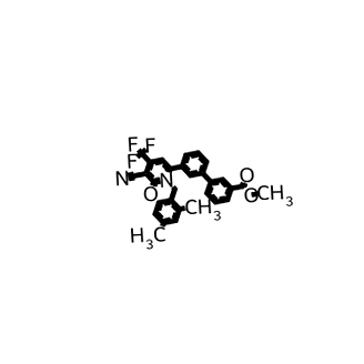 COC(=O)c1cccc(-c2cccc(-c3cc(C(F)(F)F)c(C#N)c(=O)n3Cc3ccc(C)cc3C)c2)c1